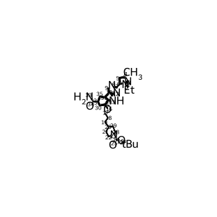 CCn1nc(C)cc1-c1ncc2c(n1)[nH]c1c(OCCCC3CCN(C(=O)OC(C)(C)C)CC3)cc(C(N)=O)cc12